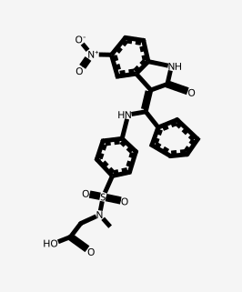 CN(CC(=O)O)S(=O)(=O)c1ccc(NC(=C2C(=O)Nc3ccc([N+](=O)[O-])cc32)c2ccccc2)cc1